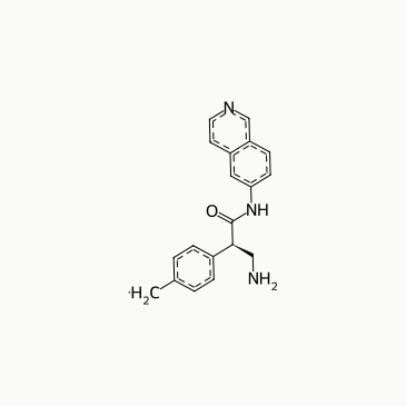 [CH2]c1ccc([C@H](CN)C(=O)Nc2ccc3cnccc3c2)cc1